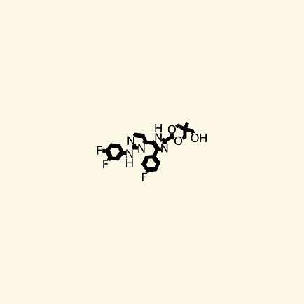 CC1(CO)COC(c2nc(-c3ccc(F)cc3)c(-c3ccnc(Nc4ccc(F)c(F)c4)n3)[nH]2)OC1